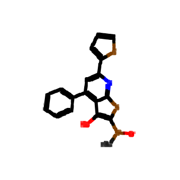 CCCC[S+]([O-])c1sc2nc(-c3cccs3)cc(-c3ccccc3)c2c1O